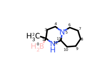 BC1(C)CCN2CCCCCC2N1